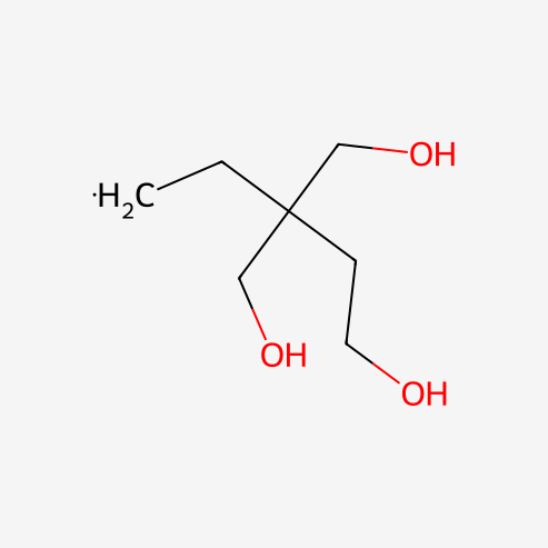 [CH2]CC(CO)(CO)CCO